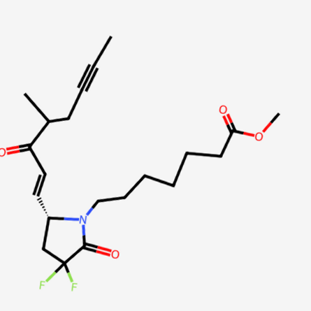 CC#CCC(C)C(=O)/C=C/[C@H]1CC(F)(F)C(=O)N1CCCCCCC(=O)OC